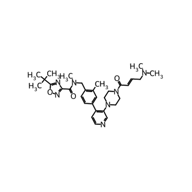 Cc1cc(-c2ccncc2N2CCN(C(=O)C=CCN(C)C)CC2)ccc1CN(C)C(=O)c1noc(C(C)(C)C)n1